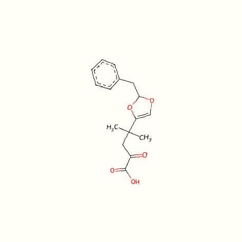 CC(C)(CC(=O)C(=O)O)C1=COC(Cc2ccccc2)O1